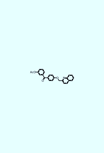 CC(=O)Oc1cccc(C(=O)c2ccc(OCc3ccc4ccccc4n3)cc2)c1